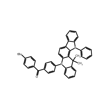 CC(C)(C)c1ccc(C(=O)c2ccc(N3c4ccccc4C(C)(C)c4c3ccc3c5ccccc5n(-c5ccccc5)c43)cc2)cc1